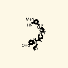 CNc1ccc(COc2nc(N3CCC4(CC3)CC4c3nc4ccc(C=O)cc4n3CC3CCO3)c(F)cc2F)cc1C=N